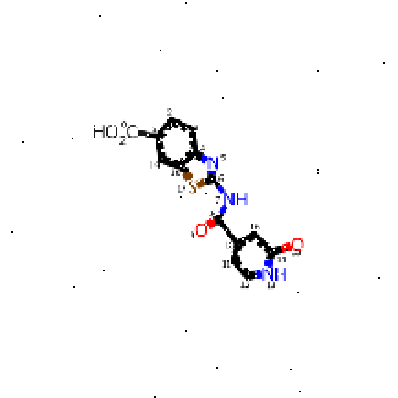 O=C(O)c1ccc2nc(NC(=O)c3cc[nH]c(=O)c3)sc2c1